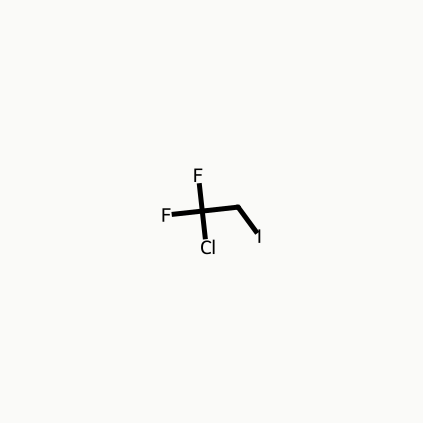 FC(F)(Cl)CI